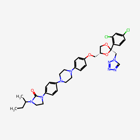 CCC(C)N1CCN(c2ccc(N3CCN(c4ccc(OC[C@@H]5CO[C@@](Cn6cnnn6)(c6ccc(Cl)cc6Cl)O5)cc4)CC3)cc2)C1=O